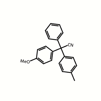 COc1ccc(C(C#N)(c2ccccc2)c2ccc(C)cc2)cc1